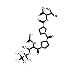 CC(O)C(NC(=O)[C@H]1CCN(C(=O)[C@H]2CCN(C(=O)C(NC(=O)O)C(C)O[Si](C)(C)C(C)(C)C)C2)C1)C(N)=O